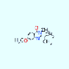 COc1ccc2c(=O)n(C)c(C(C)C)nc2c1